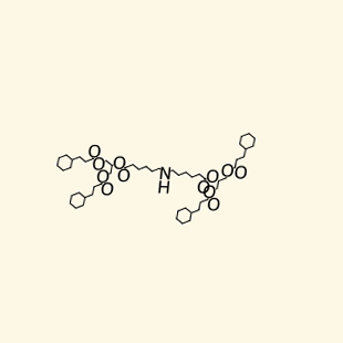 O=C(CCC1CCCCC1)OCC(COC(=O)CCC1CCCCC1)OC(=O)CCCCCNCCCCCC(=O)OC(COC(=O)CCC1CCCCC1)COC(=O)CCC1CCCCC1